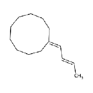 CC=CC=C1CCCCCCCCC1